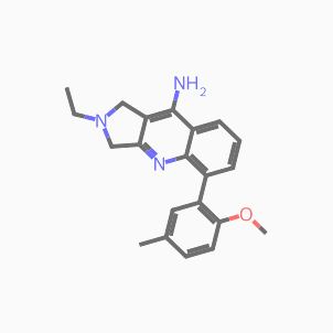 CCN1Cc2nc3c(-c4cc(C)ccc4OC)cccc3c(N)c2C1